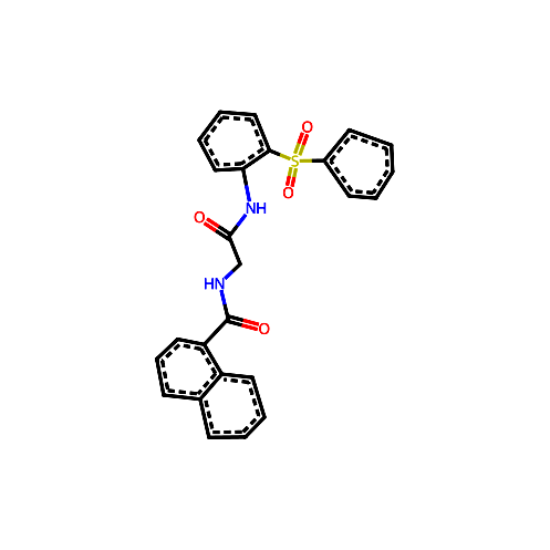 O=C(CNC(=O)c1cccc2ccccc12)Nc1ccccc1S(=O)(=O)c1ccccc1